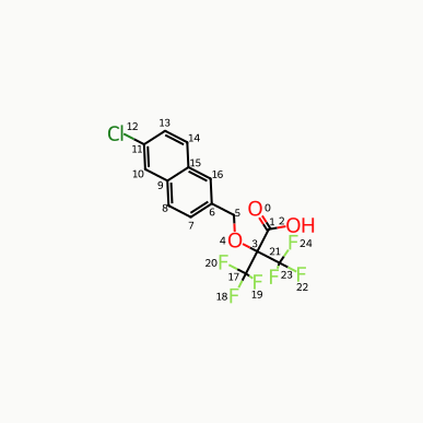 O=C(O)C(OCc1ccc2cc(Cl)ccc2c1)(C(F)(F)F)C(F)(F)F